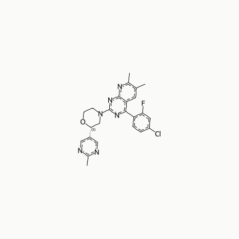 Cc1ncc([C@H]2CN(c3nc(-c4ccc(Cl)cc4F)c4cc(C)c(C)nc4n3)CCO2)cn1